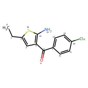 CCc1cc(C(=O)c2ccc(Cl)cc2)c(N)s1